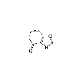 O=C1CC=Cc2o[c]nc21